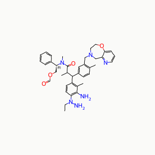 CCN(N)c1ccc(C(c2ccc(C)c(CN3CCOc4cccnc4C3)c2)C(C)C(=O)N(C)[C@@H](COC=O)c2ccccc2)c(C)c1N